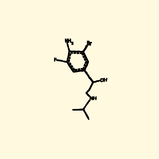 CC(C)NCC(O)c1cc(F)c(N)c(Br)c1